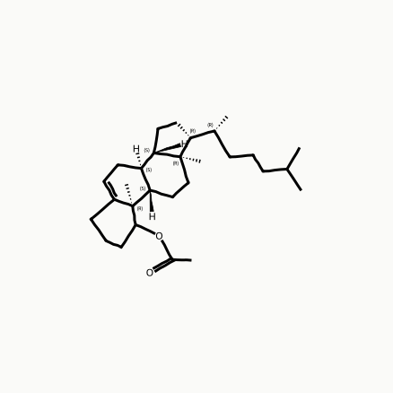 CC(=O)OC1CCCC2=CC[C@H]3[C@@H]4CC[C@H]([C@H](C)CCCC(C)C)[C@@]4(C)CC[C@@H]3[C@]21C